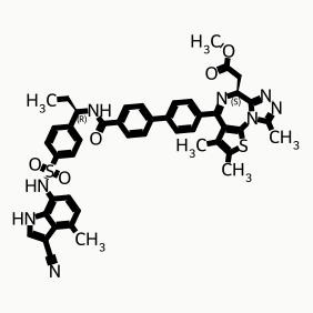 CC[C@@H](NC(=O)c1ccc(-c2ccc(C3=N[C@@H](CC(=O)OC)c4nnc(C)n4-c4sc(C)c(C)c43)cc2)cc1)c1ccc(S(=O)(=O)Nc2ccc(C)c3c(C#N)c[nH]c23)cc1